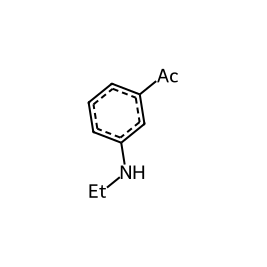 CCNc1cccc(C(C)=O)c1